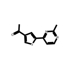 CC(=O)c1csc(-c2ccnc(C)n2)c1